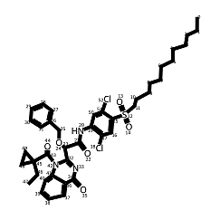 CCCCCCCCCCCCS(=O)(=O)c1cc(Cl)c(NC(=O)C(OCc2ccccc2)c2nc(=O)c3ccccc3n2C(=O)C2(CC)CC2)cc1Cl